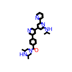 CC(C)Nc1cc(-c2cncc(-c3ccc(C(=O)N4CC(C)NC(C)C4)cc3)c2)cc(-c2ccccn2)n1